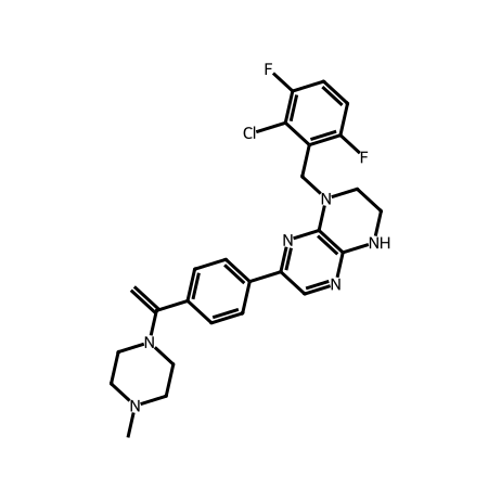 C=C(c1ccc(-c2cnc3c(n2)N(Cc2c(F)ccc(F)c2Cl)CCN3)cc1)N1CCN(C)CC1